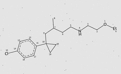 CCOCCNCCC(C)CC1(c2ccc(Cl)cc2)CC1